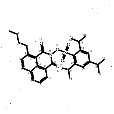 CCCCc1ccc2cccc3c2c1C(=O)N(OS(=O)(=O)c1c(C(C)C)cc(C(C)C)cc1C(C)C)C3=O